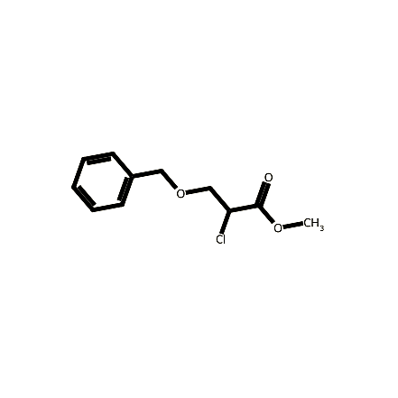 COC(=O)C(Cl)COCc1ccccc1